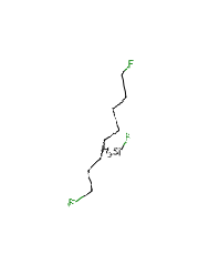 FCCCCCCCCF.F[SiH3]